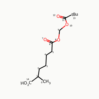 CC(CCCCC(=O)OCOC(=O)C(C)(C)C)C(=O)O